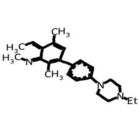 C/C=C1/C(C)=CC(c2ccc(N3CCN(CC)CC3)cc2)=C(C)/C1=N/C